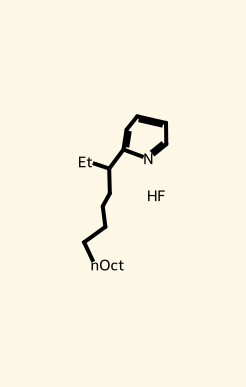 CCCCCCCCCCCCC(CC)c1ccccn1.F